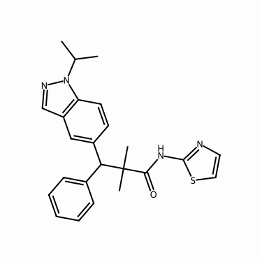 CC(C)n1ncc2cc(C(c3ccccc3)C(C)(C)C(=O)Nc3nccs3)ccc21